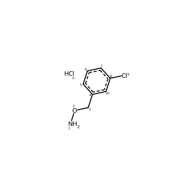 Cl.NOCc1cccc(Cl)c1